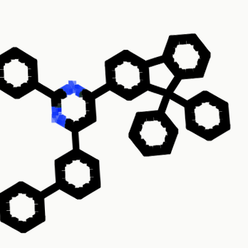 c1ccc(-c2cccc(-c3cc(-c4ccc5c(c4)C(c4ccccc4)(c4ccccc4)c4ccccc4-5)nc(-c4ccccc4)n3)c2)cc1